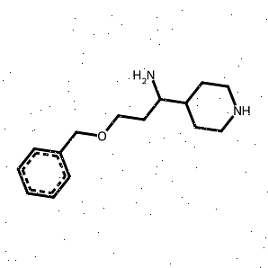 NC(CCOCc1ccccc1)C1CCNCC1